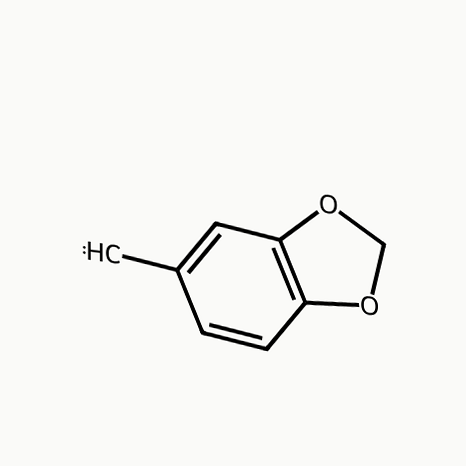 [CH]c1ccc2c(c1)OCO2